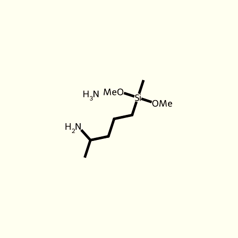 CO[Si](C)(CCCC(C)N)OC.N